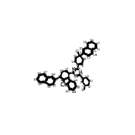 CC1C=C(c2nc(C3=CCC(C)(c4ccc5ccccc5c4)C=C3)nc(C3=CCC(c4ccc5ccccc5c4)c4oc5ccccc5c43)n2)C=CC1